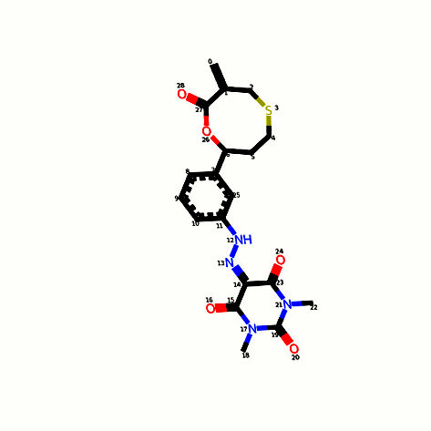 C=C1CSCCC(c2cccc(NN=C3C(=O)N(C)C(=O)N(C)C3=O)c2)OC1=O